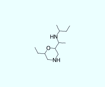 CCC(C)NC(C)C1CNCC(CC)O1